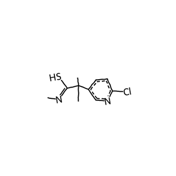 CN=C(S)C(C)(C)c1ccc(Cl)nc1